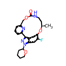 C[C@@H]1CCNC(=O)OCc2cccc(n2)-c2nn(C3CCCCO3)c3cc(F)c(cc23)O1